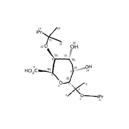 CC(C)OC(C)(C)[C@@H]1O[C@@H](C(=O)O)[C@@H](OC(C)(C)C(C)C)[C@H](O)[C@@H]1O